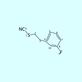 N#CSCCc1cccc(F)c1